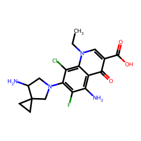 CCn1cc(C(=O)O)c(=O)c2c(N)c(F)c(N3CC(N)C4(CC4)C3)c(Cl)c21